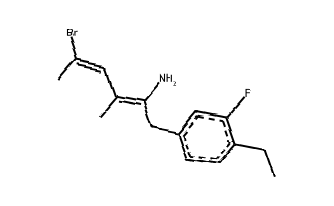 CCc1ccc(C/C(N)=C(C)/C=C(\C)Br)cc1F